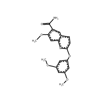 COc1cc(OC)cc(Oc2ccc3cc(C(N)=O)c(OC)cc3n2)c1